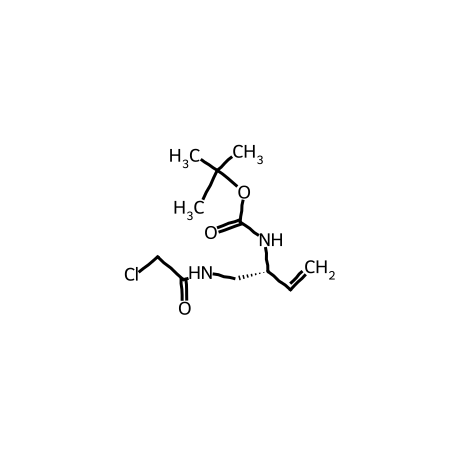 C=C[C@H](CNC(=O)CCl)NC(=O)OC(C)(C)C